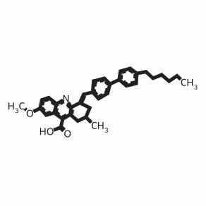 CCCCCCc1ccc(-c2ccc(/C=C3\CC(C)Cc4c3nc3ccc(OC)cc3c4C(=O)O)cc2)cc1